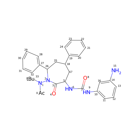 CC(=O)N(N1C(=O)C(NC(=O)Nc2cccc(N)c2)CC(c2ccccc2)CC1c1ccccc1)C(C)(C)C